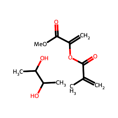 C=C(C)C(=O)OC(=C)C(=O)OC.CC(O)C(C)O